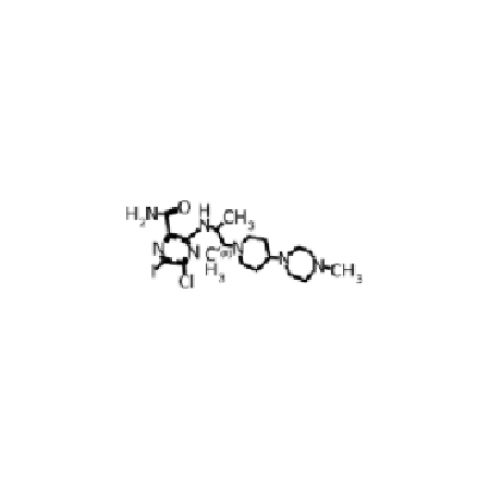 CC(Nc1nc(Cl)c(I)nc1C(N)=O)[C@@H](C)N1CCC(N2CCN(C)CC2)CC1